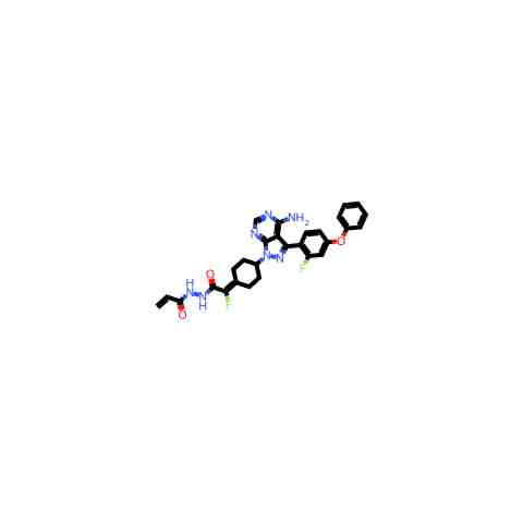 C=CC(=O)NNC(=O)C(F)=C1CCC(n2nc(-c3ccc(Oc4ccccc4)cc3F)c3c(N)ncnc32)CC1